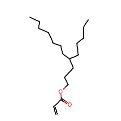 C=CC(=O)OCCCC(CCCCC)CCCCCCC